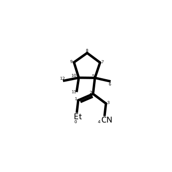 CCC=C(CC#N)C1(C)CCCC1(C)C